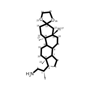 C[C@H](CN)[C@H]1CCC2C3CC[C@H]4CC5(CC[C@]4(C)C3CC[C@@]21C)OCCO5